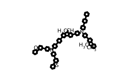 CC1(C)c2ccccc2-c2ccc(-c3ccc(N(c4ccc(-c5ccc(-c6ccccc6)cc5)cc4)c4ccc(-c5ccc6c(c5)C(C)(C)c5ccc(-c7ccc(-c8ccc(N(c9ccc(-c%10ccc%11oc%12ccccc%12c%11c%10)cc9)c9ccc(-c%10ccc%11sc%12ccccc%12c%11c%10)cc9)cc8)cc7)cc5-6)cc4)cc3)cc21